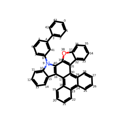 c1ccc(-c2cccc(-n3c4ccccc4c4c5c6ccccc6c6ccccc6c5c5c6ccccc6oc5c43)c2)cc1